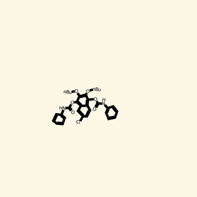 CCCCOc1c(OCCCC)c(OC(=O)Nc2ccccc2)c2cc(Cl)ccc2c1OC(=O)Nc1ccccc1